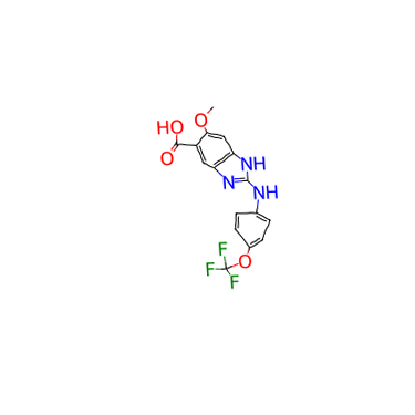 COc1cc2[nH]c(Nc3ccc(OC(F)(F)F)cc3)nc2cc1C(=O)O